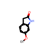 CCOc1ccc2c(c1)NC(=O)C2